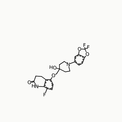 O=C1CCc2c(OCC3(O)CCN(c4ccc5c(c4)OC(F)(F)O5)CC3)ccc(F)c2N1